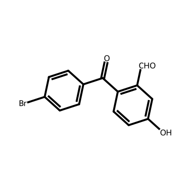 O=Cc1cc(O)ccc1C(=O)c1ccc(Br)cc1